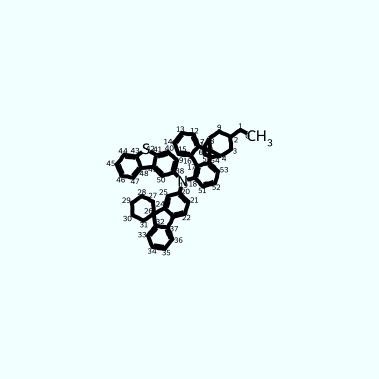 CCC1CC2CCCC(C1)C21c2ccccc2-c2c(N(c3ccc4c(c3)C3(CCCCC3)c3ccccc3-4)c3ccc4sc5ccccc5c4c3)cccc21